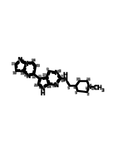 CN1CCC(CNc2ncc3c(-c4ccn5nccc5n4)c[nH]c3n2)CC1